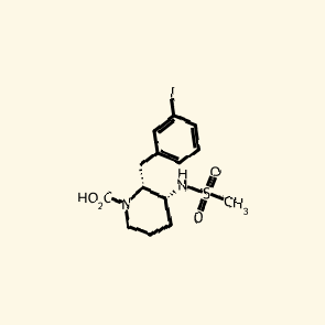 CS(=O)(=O)N[C@@H]1CCCN(C(=O)O)[C@@H]1Cc1cccc(I)c1